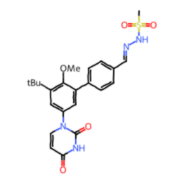 COc1c(-c2ccc(/C=N/NS(C)(=O)=O)cc2)cc(-n2ccc(=O)[nH]c2=O)cc1C(C)(C)C